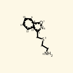 NCCSCc1noc2ccccc12